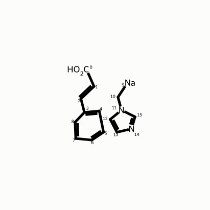 O=C(O)/C=C/c1ccccc1.[Na][CH2]n1ccnc1